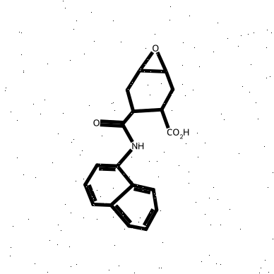 O=C(O)C1CC2OC2CC1C(=O)Nc1cccc2ccccc12